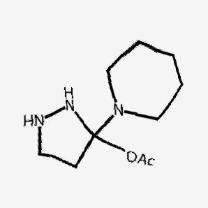 CC(=O)OC1(N2CCCCC2)CCNN1